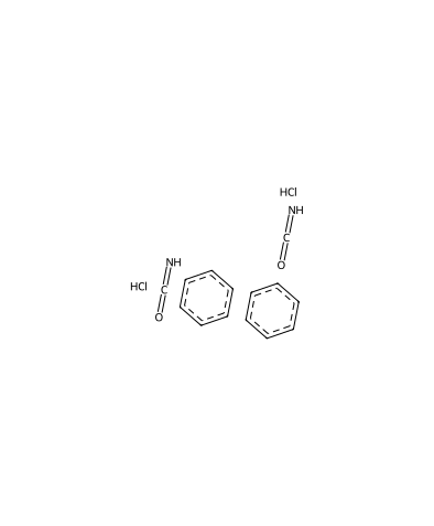 Cl.Cl.N=C=O.N=C=O.c1ccccc1.c1ccccc1